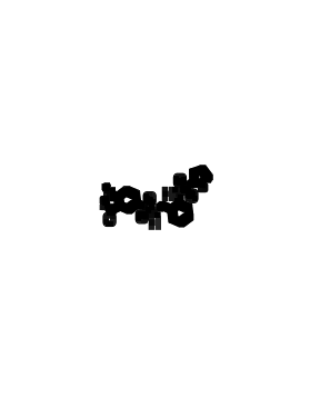 Cn1sc(=O)c2cc(S(=O)(=O)NCc3ccccc3NS(=O)(=O)c3cccs3)ccc21